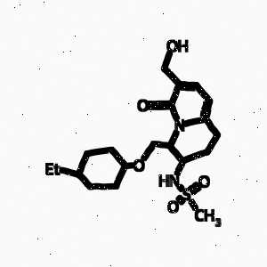 CCC1CCC(OCC2C(NS(C)(=O)=O)CCc3ccc(CO)c(=O)n32)CC1